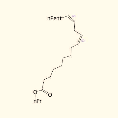 CCCCC/C=C\C/C=C\CCCCCCCC(=O)OCCC